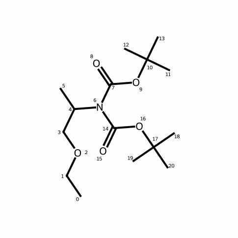 CCOCC(C)N(C(=O)OC(C)(C)C)C(=O)OC(C)(C)C